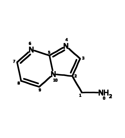 NCc1cnc2ncccn12